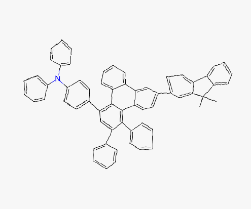 CC1(C)c2ccccc2-c2ccc(-c3ccc4c(c3)c3ccccc3c3c(-c5ccc(N(c6ccccc6)c6ccccc6)cc5)cc(-c5ccccc5)c(-c5ccccc5)c43)cc21